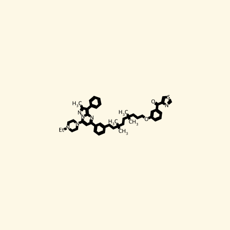 CCN1CCN(c2cc(-c3cccc(CCC(C)(C)CCC(C)(C)CCCOc4cccc(C(=O)c5cscn5)c4)c3)nc3c(-c4ccccc4)c(C)nn23)CC1